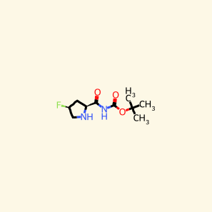 CC(C)(C)OC(=O)NC(=O)[C@@H]1C[C@H](F)CN1